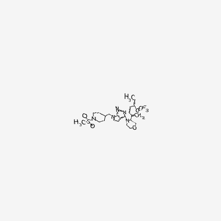 C=C(/C=C\C(=C/C)OC(F)(F)F)[C@H]1COCCN1c1ncnc2c1ccn2CC1CCN(S(C)(=O)=O)CC1